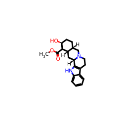 COC(=O)C1[C@H]2C[C@H]3c4[nH]c5ccccc5c4CCN3C[C@H]2CC[C@@H]1O